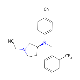 N#CCN1CC[C@H](N(Cc2ccccc2C(F)(F)F)c2ccc(C#N)cc2)C1